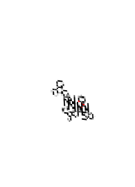 c1ccc(-c2nc(-c3ccc4c5ccccc5c5ccccc5c4c3)nc(-c3cccc4sc5ccc(-c6nc(-c7ccccc7)nc7c6sc6ccccc67)cc5c34)n2)cc1